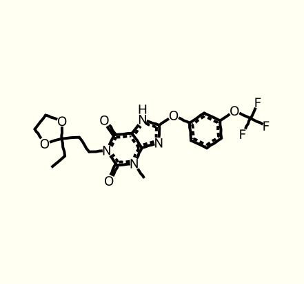 CCC1(CCn2c(=O)c3[nH]c(Oc4cccc(OC(F)(F)F)c4)nc3n(C)c2=O)OCCO1